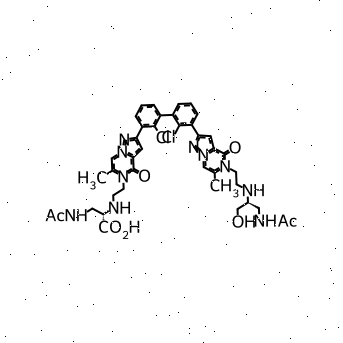 CC(=O)NC[C@@H](CO)NCCn1c(C)cn2nc(-c3cccc(-c4cccc(-c5cc6c(=O)n(CCN[C@@H](CNC(C)=O)C(=O)O)c(C)cn6n5)c4Cl)c3Cl)cc2c1=O